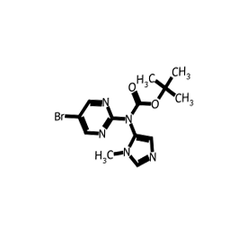 Cn1cncc1N(C(=O)OC(C)(C)C)c1ncc(Br)cn1